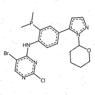 CP(C)c1cc(-c2ccnn2C2CCCCO2)ccc1Nc1nc(Cl)ncc1Br